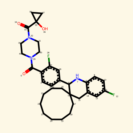 O=C(c1ccc(C2Nc3ccc(F)cc3CC23CCCCCCCCC3)cc1F)N1CCN(C(=O)C2(O)CC2)CC1